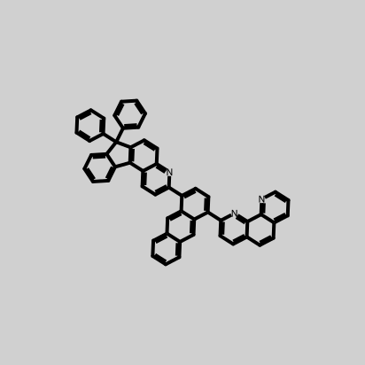 c1ccc(C2(c3ccccc3)c3ccccc3-c3c2ccc2nc(-c4ccc(-c5ccc6ccc7cccnc7c6n5)c5cc6ccccc6cc45)ccc32)cc1